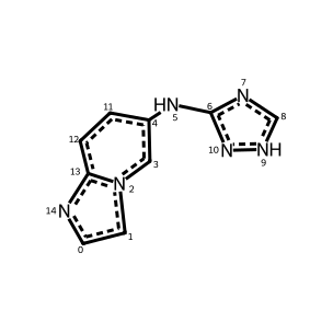 c1cn2cc(Nc3nc[nH]n3)ccc2n1